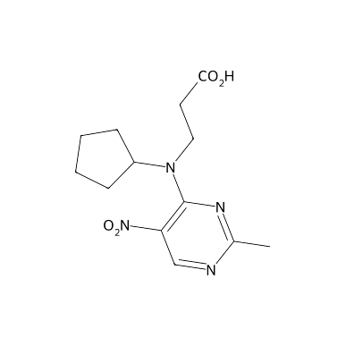 Cc1ncc([N+](=O)[O-])c(N(CCC(=O)O)C2CCCC2)n1